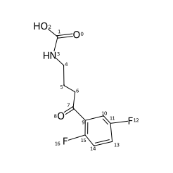 O=C(O)NCCCC(=O)c1cc(F)ccc1F